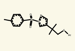 CC(=O)SCC(C)(C)c1cnn(S(=O)(=O)c2ccc(C)cc2)c1